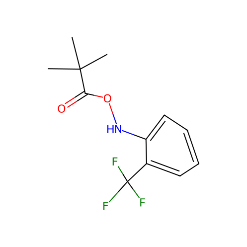 CC(C)(C)C(=O)ONc1ccccc1C(F)(F)F